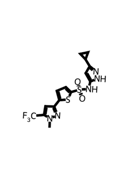 Cn1nc(-c2ccc(S(=O)(=O)Nc3cc(C4CC4)n[nH]3)s2)cc1C(F)(F)F